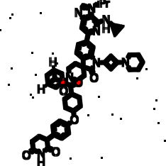 CC(C)n1cnc2cc(-c3ccc4c(c3)N(C3CC(N5CCCCC5)C3)C(=O)C43CCN(C(=O)C4[C@@H]5C[C@H]4CN(C(=O)C4CCC(Oc6ccc(C7CCC(=O)NC7=O)cc6)CC4)C5)CC3)nc(NC3CC3)c21